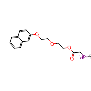 CCPCC(=O)OCCOCCOc1ccc2ccccc2c1